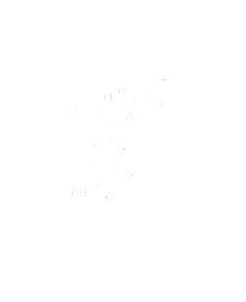 O=C(Oc1c(Cl)c(Cl)cc2cc(C(=O)O)c(=O)oc12)c1cccs1